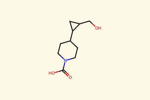 O=C(O)N1CCC(C2CC2CO)CC1